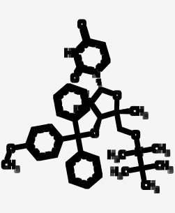 COc1ccc(C(O[C@H]2C(F)(F)[C@H](n3ccc(=O)[nH]c3=O)O[C@]2(C)CO[Si](C)(C)C(C)(C)C)(c2ccccc2)c2ccccc2)cc1